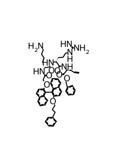 C=CC[C@H](NC(=O)[C@@H](CCCNC(=N)N)NC(=O)[C@@H](CCCCN)NC(=O)COc1ccc2ccccc2c1-c1c(OCCCc2ccccc2)ccc2ccccc12)C(=O)OCc1ccccc1